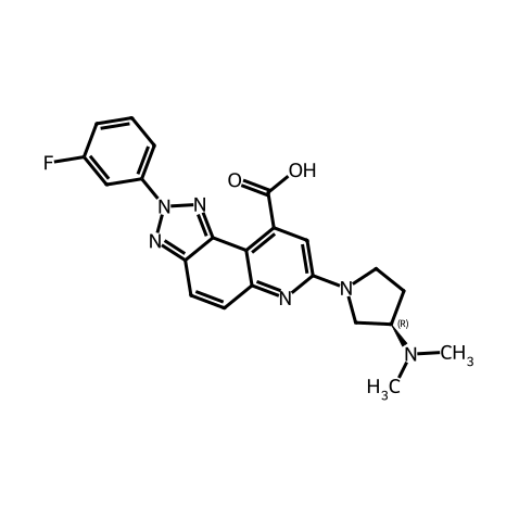 CN(C)[C@@H]1CCN(c2cc(C(=O)O)c3c(ccc4nn(-c5cccc(F)c5)nc43)n2)C1